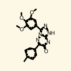 COc1cc(-c2n[nH]c3nc(=O)c(-c4ccc(C)cc4)nn23)cc(OC)c1OC